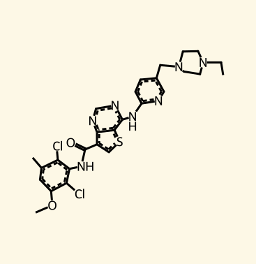 CCN1CCN(Cc2ccc(Nc3ncnc4c(C(=O)Nc5c(Cl)c(C)cc(OC)c5Cl)csc34)nc2)CC1